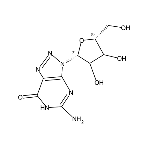 Nc1nc2c(nnn2[C@@H]2O[C@H](CO)C(O)C2O)c(=O)[nH]1